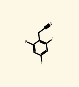 N#CCc1c(F)cc(F)cc1F